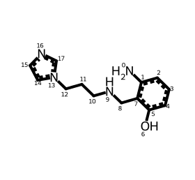 Nc1cccc(O)c1CNCCCn1ccnc1